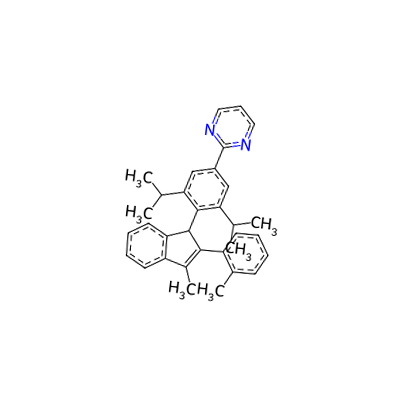 CC1=C(c2ccccc2C)C(c2c(C(C)C)cc(-c3ncccn3)cc2C(C)C)c2ccccc21